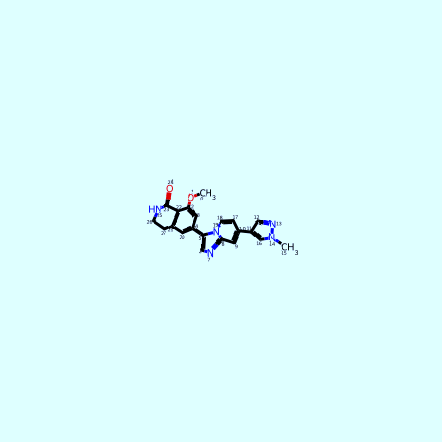 COc1cc(-c2cnc3cc(-c4cnn(C)c4)ccn23)cc2c1C(=O)NCC2